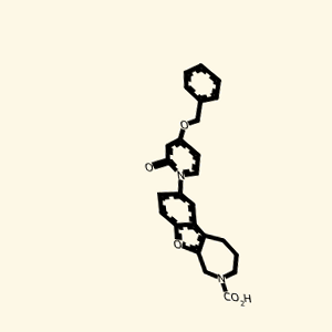 O=C(O)N1CCCc2c(oc3ccc(-n4ccc(OCc5ccccc5)cc4=O)cc23)C1